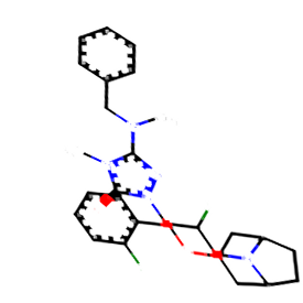 CN(Cc1ccccc1)c1nn(CC(F)CN2C3CCC2CC(OCc2ccccc2F)C3)c(=O)n1C